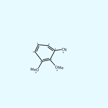 COc1c[c]cc(C#N)c1OC